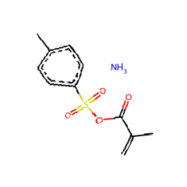 C=C(C)C(=O)OS(=O)(=O)c1ccc(C)cc1.N